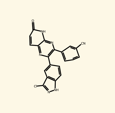 N#Cc1cccc(-c2nc3[nH]c(=O)ccc3nc2-c2ccc3[nH]nc(Cl)c3c2)c1